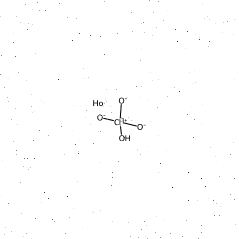 [Ho].[O-][Cl+3]([O-])([O-])O